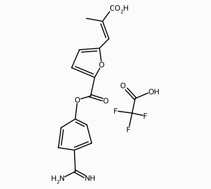 C/C(=C\c1ccc(C(=O)Oc2ccc(C(=N)N)cc2)o1)C(=O)O.O=C(O)C(F)(F)F